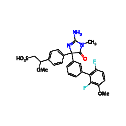 COc1ccc(F)c(-c2cccc(C3(c4ccc(C(CS(=O)(=O)O)OC)cc4)N=C(N)N(C)C3=O)c2)c1F